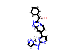 Cn1nccc1Nc1nccc(-c2ccn3c([C@H](O)C4CCCCC4)nnc3c2)n1